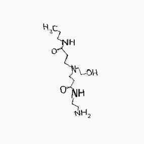 CCCNC(=O)CCN(CCO)CCC(=O)NCCN